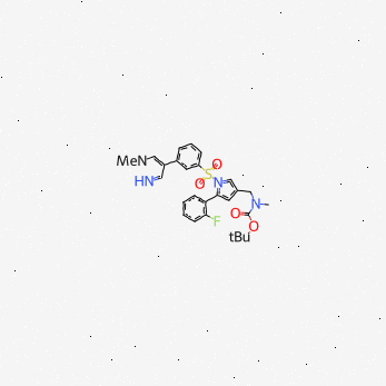 CN/C=C(\C=N)c1cccc(S(=O)(=O)n2cc(CN(C)C(=O)OC(C)(C)C)cc2-c2ccccc2F)c1